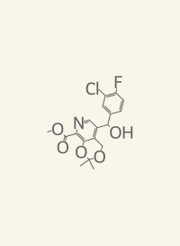 COC(=O)c1ncc(C(O)c2ccc(F)c(Cl)c2)c2c1OC(C)(C)OC2